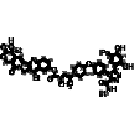 CCNC(=O)c1nnc(-c2cc(C(C)C)c(O)cc2O)n1-c1ccc(OC2CCN(C(=O)CN(C)C(=O)Oc3ccc4nc5c(c(CC)c4c3)Cn3c-5cc4c(c3=O)COC(=O)[C@]4(O)CC)CC2)cc1